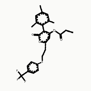 CCC(=O)Oc1cc(CCSc2ccc(C(F)(F)F)cc2)oc(=O)c1-c1c(C)cc(C)cc1C